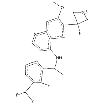 COc1cc2nccc(NC(C)c3cccc(C(F)F)c3F)c2cc1C1(F)CNC1